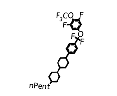 CCCCCC1CCC(C2CCC(c3ccc(C(F)(F)Oc4cc(F)c(OC(F)(F)F)c(F)c4)cc3)CC2)CC1